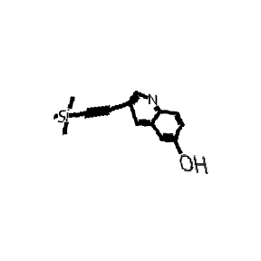 C[Si](C)(C)C#Cc1cnc2ccc(O)cc2c1